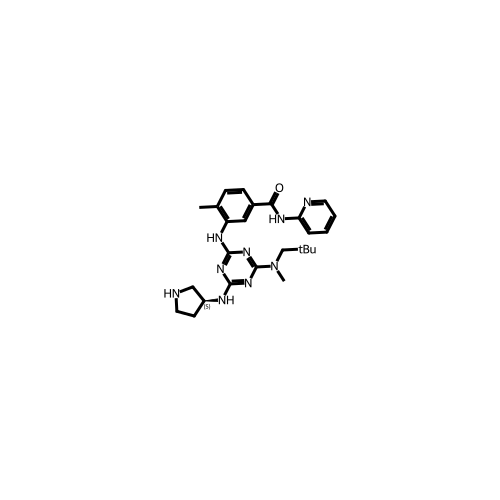 Cc1ccc(C(=O)Nc2ccccn2)cc1Nc1nc(N[C@H]2CCNC2)nc(N(C)CC(C)(C)C)n1